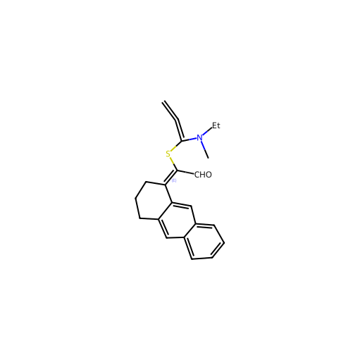 C=C=C(S/C(C=O)=C1\CCCc2cc3ccccc3cc21)N(C)CC